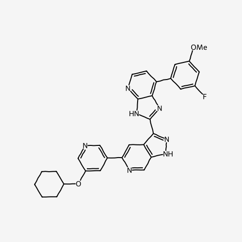 COc1cc(F)cc(-c2ccnc3[nH]c(-c4n[nH]c5cnc(-c6cncc(OC7CCCCC7)c6)cc45)nc23)c1